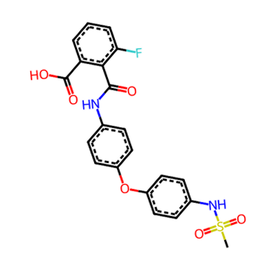 CS(=O)(=O)Nc1ccc(Oc2ccc(NC(=O)c3c(F)cccc3C(=O)O)cc2)cc1